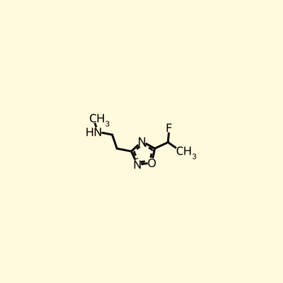 CNCCc1noc(C(C)F)n1